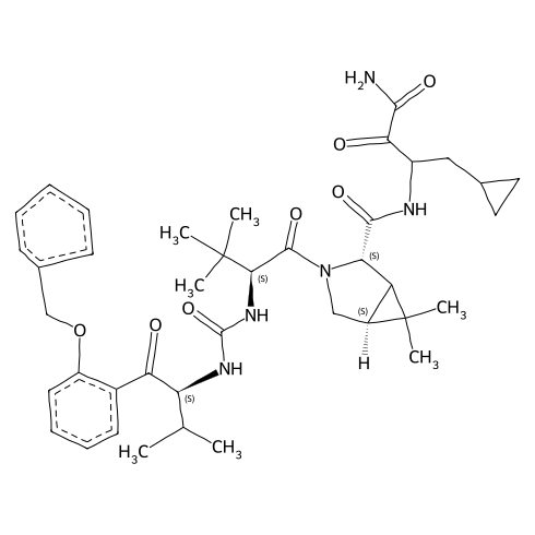 CC(C)[C@H](NC(=O)N[C@H](C(=O)N1C[C@H]2C([C@H]1C(=O)NC(CC1CC1)C(=O)C(N)=O)C2(C)C)C(C)(C)C)C(=O)c1ccccc1OCc1ccccc1